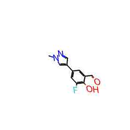 Cn1cc(-c2cc(F)c(O)c(C=O)c2)cn1